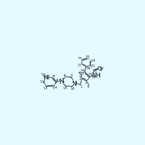 Cc1c(CN2CCN(C3=CN(C)CC=C3)CC2)sc2c1[nH]c(=O)c1ccccc12